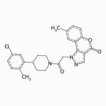 Cc1ccc2oc(=O)c3cnn(CC(=O)N4CCC(c5cc(Cl)ccc5C)CC4)c3c2c1